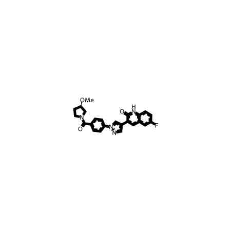 CO[C@H]1CCN(C(=O)c2ccc(-n3cc(-c4cc5cc(F)ccc5[nH]c4=O)cn3)cc2)C1